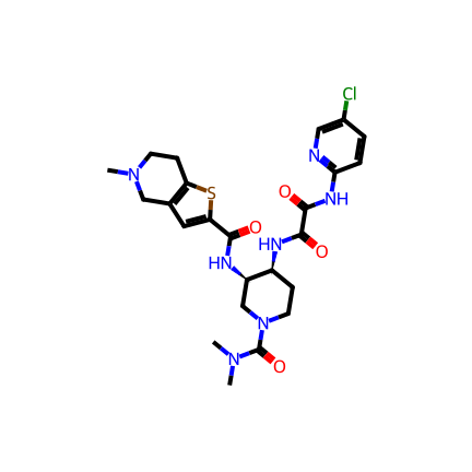 CN1CCc2sc(C(=O)N[C@@H]3CN(C(=O)N(C)C)CC[C@@H]3NC(=O)C(=O)Nc3ccc(Cl)cn3)cc2C1